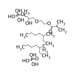 C=C(C)C(=O)OCCOCC(C)O.CCCCC(C)CC.CCCCC(C)CC.O=P(O)(O)O.O=P(O)(O)O